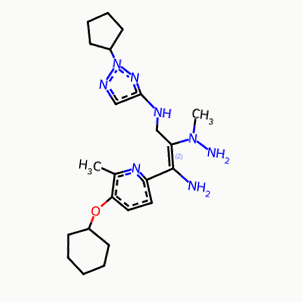 Cc1nc(/C(N)=C(\CNc2cnn(C3CCCC3)n2)N(C)N)ccc1OC1CCCCC1